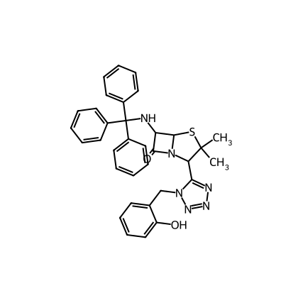 CC1(C)SC2C(NC(c3ccccc3)(c3ccccc3)c3ccccc3)C(=O)N2C1c1nnnn1Cc1ccccc1O